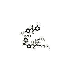 C=CC(=O)N[C@@H](CCCCN)C(=O)Nc1cccc(Nc2ncc(NC(=O)c3cc(NC(=O)c4cccc(C(F)(F)F)c4)ccc3C)cn2)c1